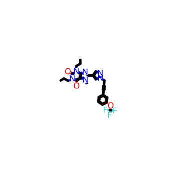 CCCn1c(=O)c2c(nc(-c3cnn(CC#Cc4cccc(OC(F)(F)F)c4)c3)n2C)n(CCC)c1=O